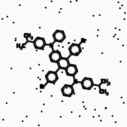 CC(C)c1ccc(N(c2ccccc2)c2ccc3c(-c4ccc(Br)cc4)c4cc(N(c5ccccc5)c5ccc(C(C)C)cc5)ccc4c(-c4ccc(Br)cc4)c3c2)cc1